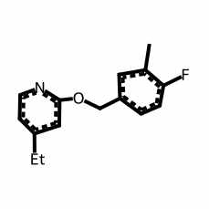 CCc1ccnc(OCc2ccc(F)c(C)c2)c1